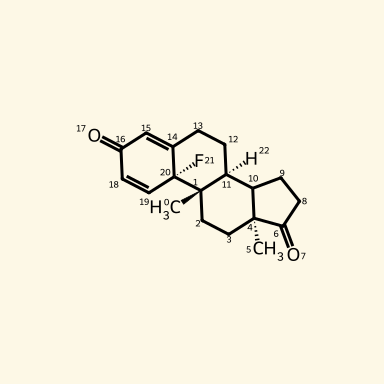 C[C@]12CC[C@]3(C)C(=O)CCC3[C@@H]1CCC1=CC(=O)C=C[C@@]12F